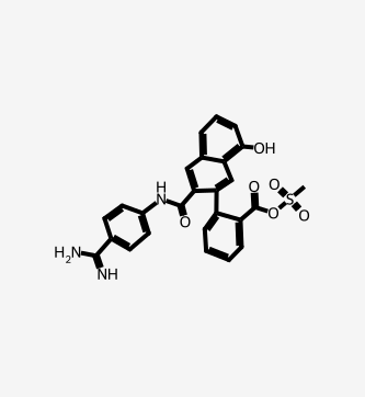 CS(=O)(=O)OC(=O)c1ccccc1-c1cc2c(O)cccc2cc1C(=O)Nc1ccc(C(=N)N)cc1